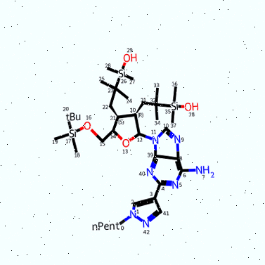 CCCCCn1cc(-c2nc(N)c3ncn(C4OC(CO[Si](C)(C)C(C)(C)C)[C@@H](CC(C)(C)[Si](C)(C)O)[C@H]4CC(C)(C)[Si](C)(C)O)c3n2)cn1